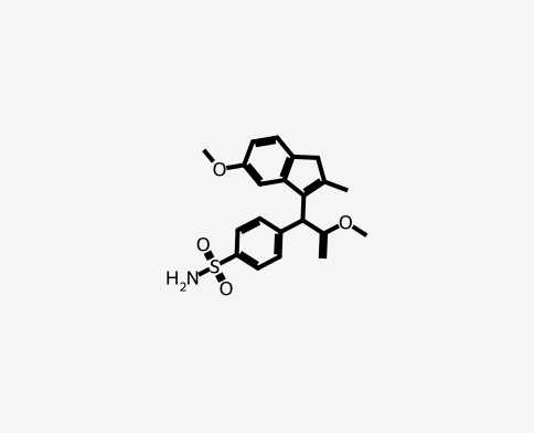 C=C(OC)C(C1=C(C)Cc2ccc(OC)cc21)c1ccc(S(N)(=O)=O)cc1